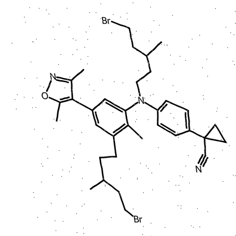 Cc1noc(C)c1-c1cc(CCC(C)CCBr)c(C)c(N(CCC(C)CCBr)c2ccc(C3(C#N)CC3)cc2)c1